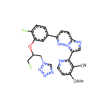 COc1ccnc(-c2cnc3ccc(-c4ccc(F)c(OC(CF)Cn5cnnn5)c4)nn23)c1C#N